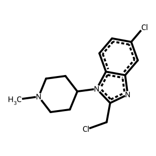 CN1CCC(n2c(CCl)nc3cc(Cl)ccc32)CC1